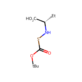 CC[C@H](NSC(=O)OC(C)(C)C)C(=O)O